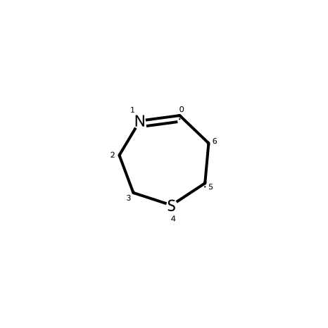 [C]1=NCCS[CH]C1